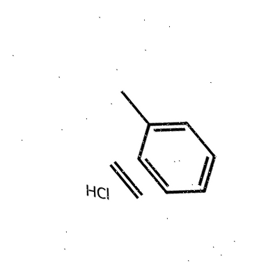 C=C.Cc1ccccc1.Cl